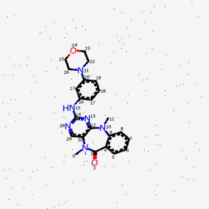 CN1C(=O)c2ccccc2N(C)c2nc(Nc3cccc(N4CCOCC4)c3)ncc21